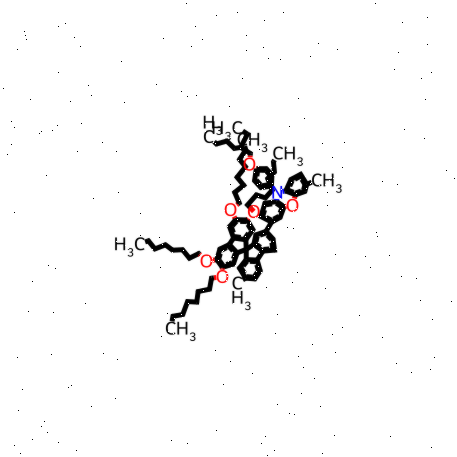 CCCCCCCCOc1cc2c(cc1OCCCCCCCC)C1(c3cc(C)ccc3-c3ccc(-c4ccc5c(c4)Oc4cc(C)ccc4N5c4ccc(OCC(CC)CCCC)cc4)cc31)c1cc(OCCCCCCCC)c(OCCCCCCCC)cc1-2